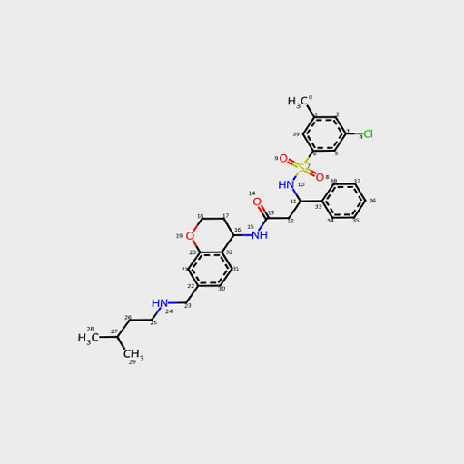 Cc1cc(Cl)cc(S(=O)(=O)NC(CC(=O)NC2CCOc3cc(CNCCC(C)C)ccc32)c2ccccc2)c1